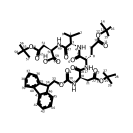 CC(C)[C@H](NC(=O)[C@H](CCC(=O)OC(C)(C)C)NC(=O)[C@@H](CC(=O)OC(C)(C)C)NC(=O)OCC1c2ccccc2-c2ccccc21)C(=O)N[C@H](CC(=O)OC(C)(C)C)C(=O)O